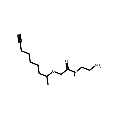 C#CCCCCCC(C)OCC(=O)NCCN